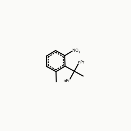 CCCC(C)(CCC)c1c(C)cccc1[N+](=O)[O-]